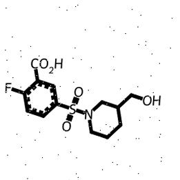 O=C(O)c1cc(S(=O)(=O)N2CCCC(CO)C2)ccc1F